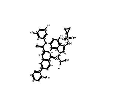 N=C(Cc1cc(F)cc(F)c1)c1nc2cc(-c3ccccc3F)ccc2c(=O)n1-c1ccc(Cl)c2c(NS(=O)(=O)C3CC3)nn(CC(F)F)c12